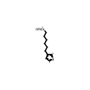 CCCCCCCCCCCCc1ccsc1